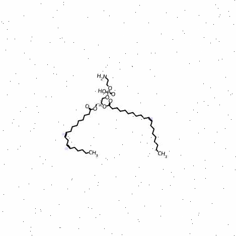 CCCCC/C=C\C/C=C\CCCCCCCC(=O)OC[C@H](COP(=O)(O)OCCN)OC(=O)CCCCCCCCC/C=C\CCCCCCCC